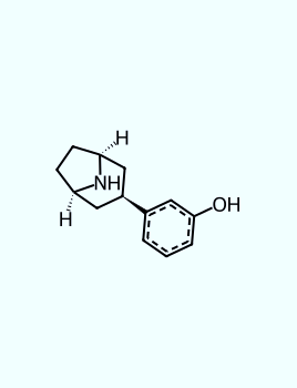 Oc1cccc([C@H]2C[C@H]3CC[C@@H](C2)N3)c1